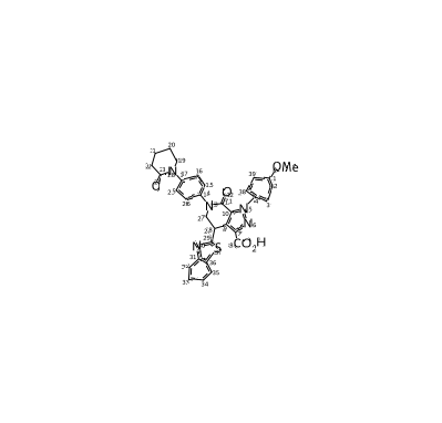 COc1ccc(-n2nc(C(=O)O)c3c2C(=O)N(c2ccc(N4CCCCC4=O)cc2)CC3c2nc3ccccc3s2)cc1